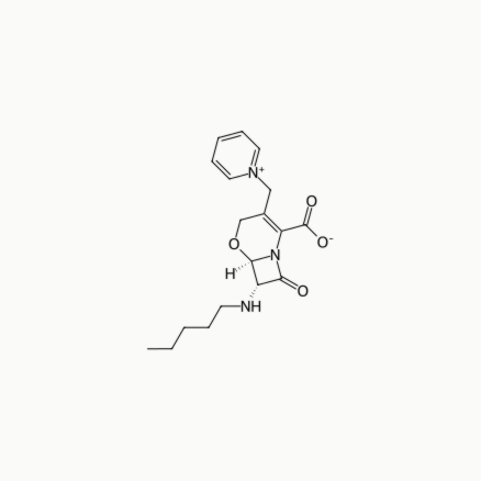 CCCCCN[C@H]1C(=O)N2C(C(=O)[O-])=C(C[n+]3ccccc3)CO[C@H]12